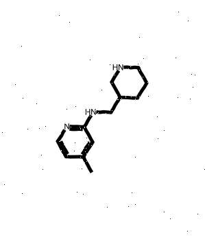 Cc1ccnc(NCC2CCCNC2)c1